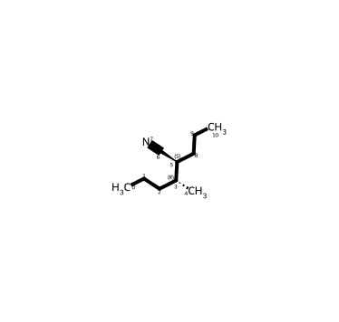 CCC[C@@H](C)[C@@H](C#N)CCC